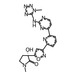 CN1CC[C@@](O)(c2cc(-c3cccc(-c4ccnc(Nc5nnnn5C)n4)n3)no2)C1=O